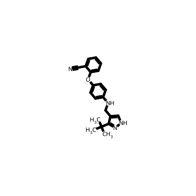 CC(C)(C)c1n[nH]cc1CNc1ccc(Oc2ccccc2C#N)cc1